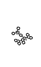 c1ccc(-c2cc(-c3ccccc3)nc(-c3ccc(-c4cc(-c5cc6ccccc6c6ccccc56)nc5c4cc(-c4cc6ccccc6c6ccccc46)c4ccccc45)cc3)n2)cc1